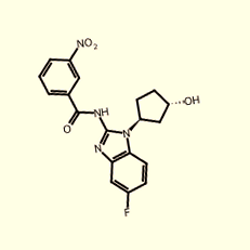 O=C(Nc1nc2cc(F)ccc2n1[C@H]1CC[C@H](O)C1)c1cccc([N+](=O)[O-])c1